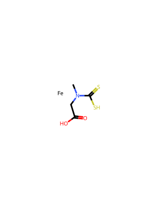 CN(CC(=O)O)C(=S)S.[Fe]